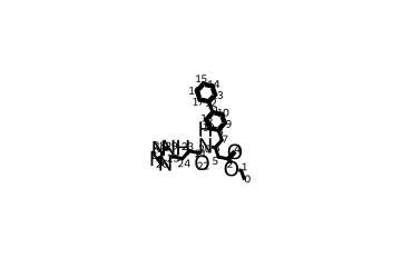 CCOC(=O)CC(Cc1ccc(-c2ccccc2)cc1)NC(=O)CCc1nnn[nH]1